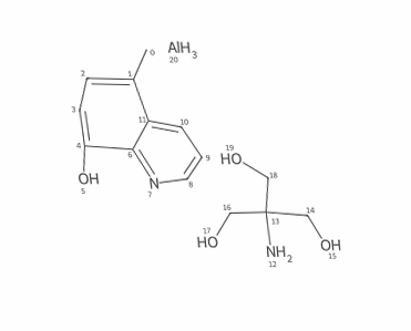 Cc1ccc(O)c2ncccc12.NC(CO)(CO)CO.[AlH3]